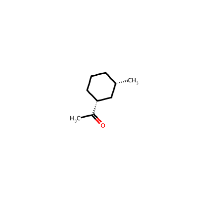 CC(=O)[C@@H]1CCC[C@H](C)C1